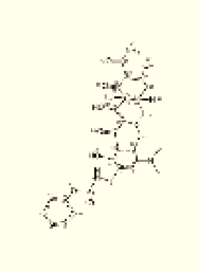 CN(C)c1cc(CNC(=O)Oc2ccccc2)c(O)c2c1CC1C[C@H]3CC(O)=C(C(N)=O)C(=O)[C@@]3(O)C(O)=C1C2=O